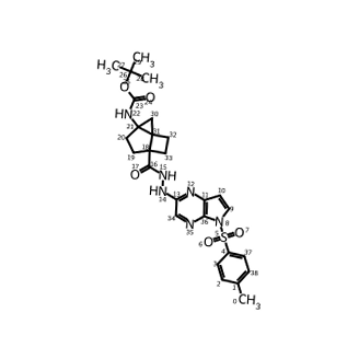 Cc1ccc(S(=O)(=O)n2ccc3nc(NNC(=O)C45CCC6(NC(=O)OC(C)(C)C)CC64CC5)cnc32)cc1